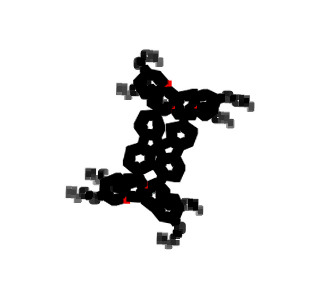 COc1ccc(N(c2ccc(OC)cc2)c2ccc3c(c2)C2(c4cc(N(c5ccc(OC)cc5)c5ccc(OC)cc5)ccc4-3)c3cc(N(c4ccc(OC)cc4)c4ccc(OC)cc4)ccc3-c3ccc(N(c4ccc(OC)cc4)c4ccc(OC)cc4)cc32)cc1